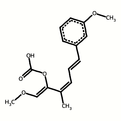 COC=C(OC(=O)O)C(C)=CC=Cc1cccc(OC)c1